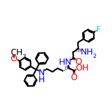 COc1ccc(C(NCCCC[C@H](NC(=O)C[C@@H](N)Cc2ccc(F)cc2)C(=O)O)(c2ccccc2)c2ccccc2)cc1